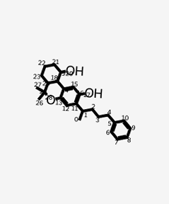 CC(CCCc1ccccc1)c1cc2c(cc1O)C1C(O)CCCC1C(C)(C)O2